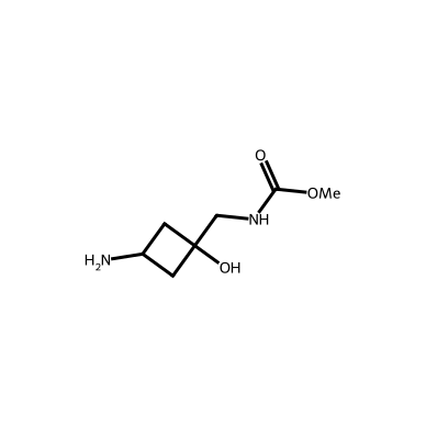 COC(=O)NCC1(O)CC(N)C1